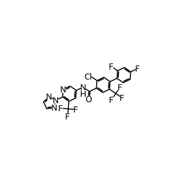 O=C(Nc1cnc(-n2nccn2)c(C(F)(F)F)c1)c1cc(C(F)(F)F)c(-c2ccc(F)cc2F)cc1Cl